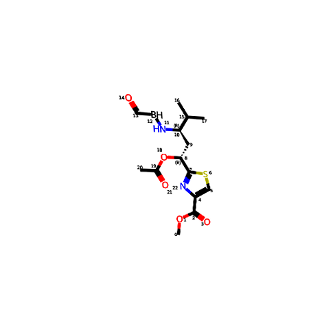 COC(=O)c1csc([C@@H](C[C@@H](NBC=O)C(C)C)OC(C)=O)n1